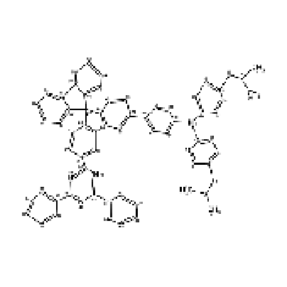 CC(C)Cc1ccc(N(c2ccc(CC(C)C)cc2)c2ccc(-c3ccc(C4(c5ccc(-c6nc(-c7ccccc7)nc(-c7ccccc7)n6)cc5)c5ccccc5-c5ccccc54)cc3)cc2)cc1